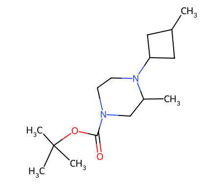 CC1CC(N2CCN(C(=O)OC(C)(C)C)CC2C)C1